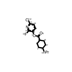 CCCC1CCC(C(=O)Oc2ccc(Cl)nc2F)CC1